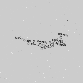 CC[C@H](C)[C@H](N)C(=O)N[C@@H](CCCCNC(=O)CCC(=O)NCCOCCOC)C(=O)N1CCN(c2ccc3ncn(CC(=O)N[C@@H](CCCNC(=N)N)C(=O)N[C@@H](Cc4cnc[nH]4)C(=O)NC)c(=O)c3c2)CC1